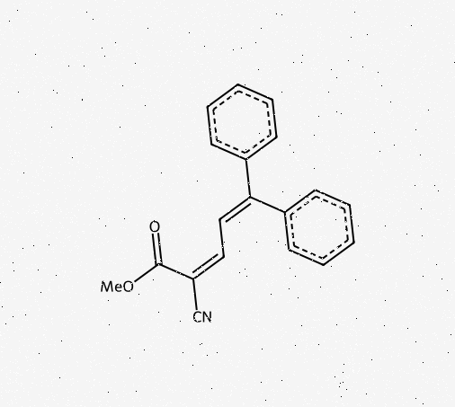 COC(=O)C(C#N)=CC=C(c1ccccc1)c1ccccc1